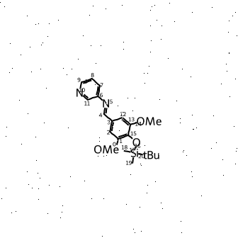 COc1cc(C=Nc2cccnc2)cc(OC)c1O[Si](C)(C)C(C)(C)C